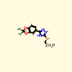 O=C(O)CSc1nnc(-c2ccc3c(c2)OC(F)(F)O3)[nH]1